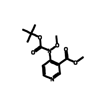 COC(=O)c1cnccc1N(OC)C(=O)OC(C)(C)C